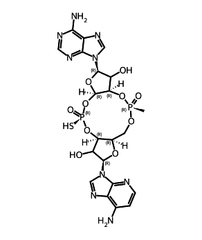 C[P@@]1(=O)OC[C@H]2O[C@@H](n3cnc4c(N)ccnc43)C(O)[C@H]2O[P@@](=O)(S)O[C@H]2O[C@@H](n3cnc4c(N)ncnc43)C(O)[C@H]2O1